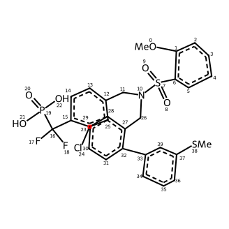 COc1ccccc1S(=O)(=O)N(Cc1ccc(C(F)(F)P(=O)(O)O)c(Cl)c1)Cc1ccccc1-c1cccc(SC)c1